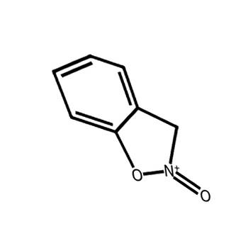 O=[N+]1Cc2ccccc2O1